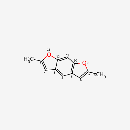 Cc1cc2cc3cc(C)oc3cc2o1